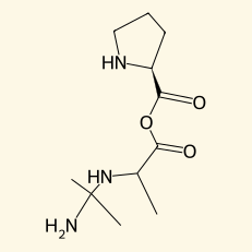 CC(NC(C)(C)N)C(=O)OC(=O)[C@@H]1CCCN1